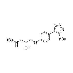 CCCCc1nnsc1-c1ccc(OCC(O)CNC(C)(C)C)cc1